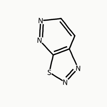 c1cc2nnsc2nn1